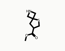 COC(=O)C1CSC2(CNC2)C1